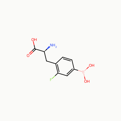 N[C@@H](Cc1ccc(B(O)O)cc1F)C(=O)O